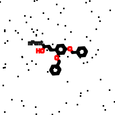 CCCCCC(O)/C=C/c1ccc(OCc2ccccc2)cc1OCc1ccccc1